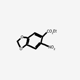 CCOC(=O)c1cc2c(cc1[N+](=O)[O-])OCO2